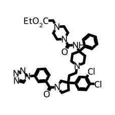 CCOC(=O)CN1CCN(C(=O)NC2(c3ccccc3)CCN(CCC3(c4ccc(Cl)c(Cl)c4)CCN(C(=O)c4cccc(-n5cnnn5)c4)C3)CC2)CC1